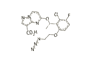 CC(Oc1ccn2ncc(C(=O)O)c2n1)c1c(OCCN=[N+]=[N-])ccc(F)c1Cl